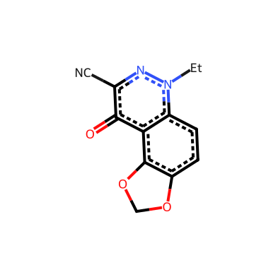 CCn1nc(C#N)c(=O)c2c3c(ccc21)OCO3